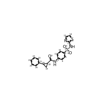 O=C(Nc1ccc(S(=O)(=O)Nc2nccs2)cc1)C1CC1c1ccccc1